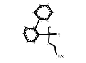 CC(=O)NCCC(C)(O)c1ccccc1-c1ccccc1